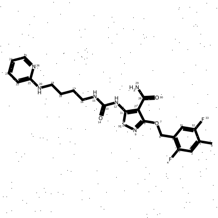 Cc1cc(F)c(COc2nsc(NC(=O)NCCCCNc3ccccn3)c2C(N)=O)cc1F